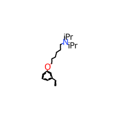 C=Cc1cccc(OCCCCCCN(C(C)C)C(C)C)c1